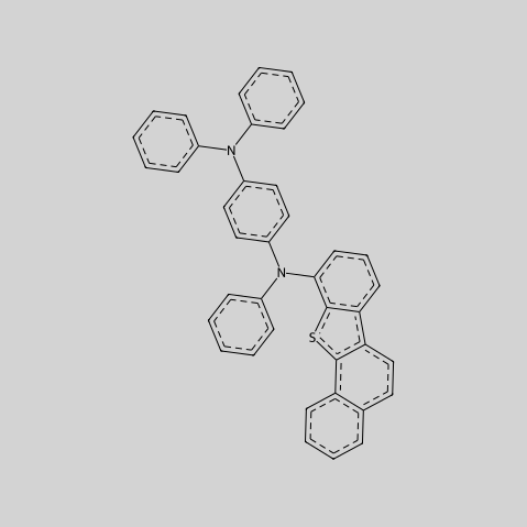 c1ccc(N(c2ccccc2)c2ccc(N(c3ccccc3)c3cccc4c3sc3c5ccccc5ccc43)cc2)cc1